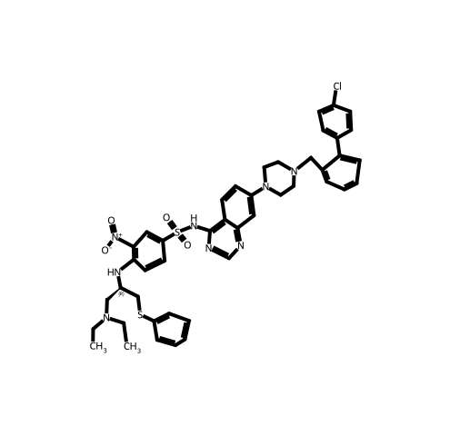 CCN(CC)C[C@H](CSc1ccccc1)Nc1ccc(S(=O)(=O)Nc2ncnc3cc(N4CCN(Cc5ccccc5-c5ccc(Cl)cc5)CC4)ccc23)cc1[N+](=O)[O-]